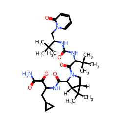 CC(C)(C)[C@H](NC(=O)N[C@H](Cn1ccccc1=O)C(C)(C)C)C(=O)N1C[C@H]2[C@@H]([C@H]1C(=O)NC(CC1CC1)C(=O)C(N)=O)C2(C)C